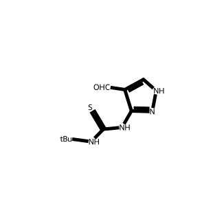 CC(C)(C)NC(=S)Nc1n[nH]cc1C=O